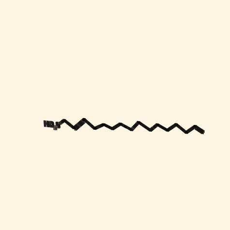 C=CCCCCCCCCCCCC=CCS(=O)(=O)O